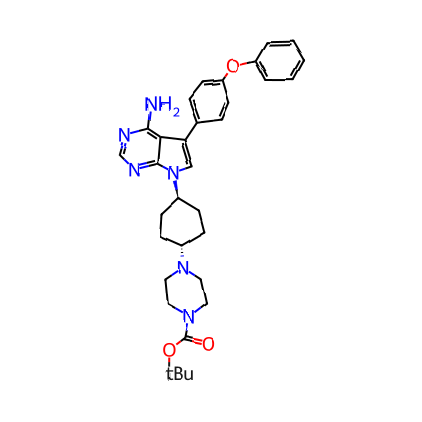 CC(C)(C)OC(=O)N1CCN([C@H]2CC[C@H](n3cc(-c4ccc(Oc5ccccc5)cc4)c4c(N)ncnc43)CC2)CC1